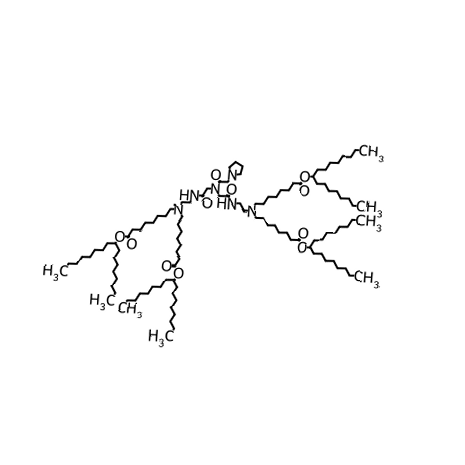 CCCCCCCCC(CCCCCCCC)OC(=O)CCCCCCCN(CCCCCCCC(=O)OC(CCCCCCCC)CCCCCCCC)CCNC(=O)CN(CC(=O)NCCN(CCCCCCCC(=O)OC(CCCCCCCC)CCCCCCCC)CCCCCCCC(=O)OC(CCCCCCCC)CCCCCCCC)C(=O)CN1CCCC1